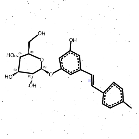 Cc1ccc(/C=C/c2cc(O)cc(O[C@@H]3O[C@H](CO)[C@@H](O)[C@H](O)[C@H]3O)c2)cc1